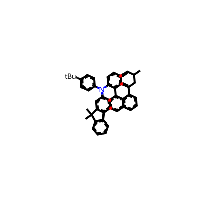 CC1C=CC=C(c2cccc3cccc(-c4ccccc4N(c4ccc(C(C)(C)C)cc4)c4ccc5c(c4)C(C)(C)c4ccccc4-5)c23)C1